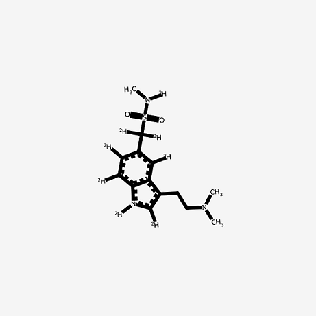 [2H]c1c(C([2H])([2H])S(=O)(=O)N([2H])C)c([2H])c2c(CCN(C)C)c([2H])n([2H])c2c1[2H]